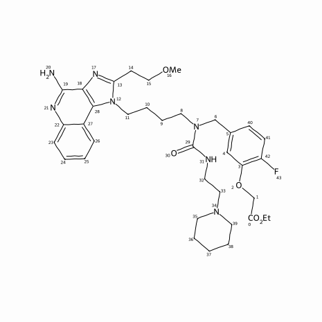 CCOC(=O)COc1cc(CN(CCCCn2c(CCOC)nc3c(N)nc4ccccc4c32)C(=O)NCCN2CCCCC2)ccc1F